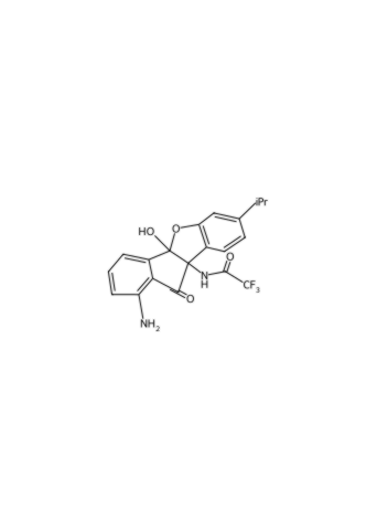 CC(C)c1ccc2c(c1)OC1(O)c3cccc(N)c3C(=O)C21NC(=O)C(F)(F)F